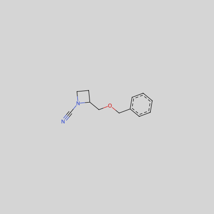 N#CN1CCC1COCc1ccccc1